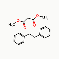 COC(=O)CC(=O)OC.c1ccc(CCc2ccccc2)cc1